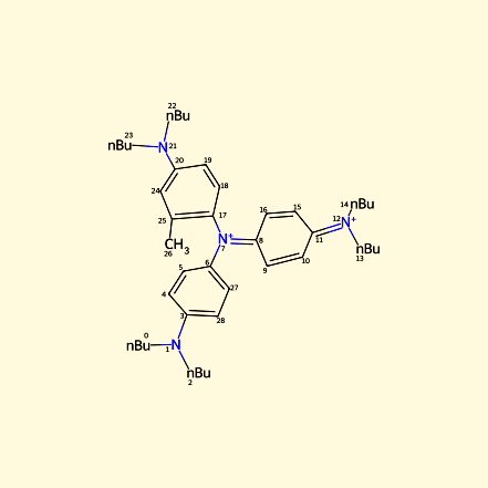 CCCCN(CCCC)c1ccc([N+](=C2C=CC(=[N+](CCCC)CCCC)C=C2)c2ccc(N(CCCC)CCCC)cc2C)cc1